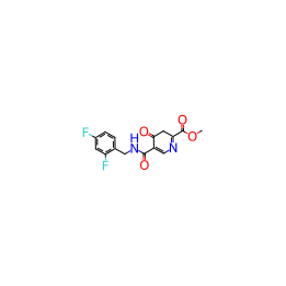 COC(=O)C1=NC=C(C(=O)NCc2ccc(F)cc2F)C(=O)C1